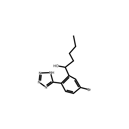 CCCCC(O)c1cc(Br)ccc1-c1nnn[nH]1